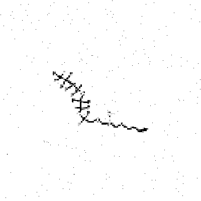 C=CCCCC[C@@H](O)COCC(F)(F)OC(F)(F)C(F)(F)OC(F)(F)C(F)(F)C(F)(F)C(F)(F)F